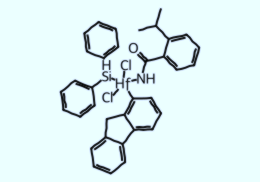 CC(C)c1ccccc1C(=O)[NH][Hf]([Cl])([Cl])([c]1cccc2c1Cc1ccccc1-2)[SiH](c1ccccc1)c1ccccc1